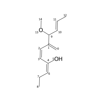 C=C(/C=C\C(O)=C/CC)C(/C=C/C)OC